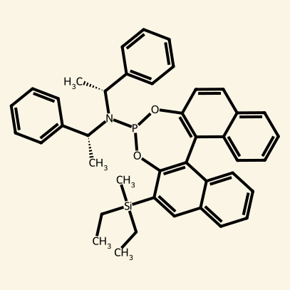 CC[Si](C)(CC)c1cc2ccccc2c2c1op(N([C@H](C)c1ccccc1)[C@H](C)c1ccccc1)oc1ccc3ccccc3c12